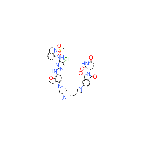 CN(CCCC1CN(c2ccc3c(c2)C(=O)N(C2CCC(=O)NC2=O)C3=O)C1)C1CCN(c2ccc(Nc3ncc(Cl)c(Nc4cccc5c4N(S(C)(=O)=O)CC5)n3)c3c2CCO3)CC1